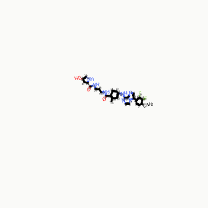 COc1ccc(-c2cnc3c(Nc4ccc(C(=O)NCCCNC(=O)[C@@H]5C[C@@H](O)CN5)c(C)c4)nccn23)c(F)c1F